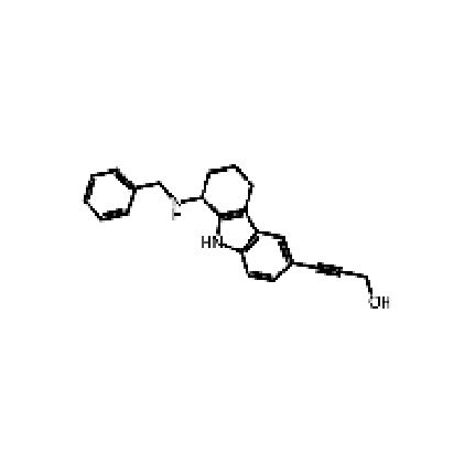 OCC#Cc1ccc2[nH]c3c(c2c1)CCCC3NCc1ccccc1